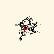 CCC(C)[C@@H]1NC(=O)CNC(=O)[C@@H]2Cc3c([nH]c4cc(O)ccc34)[S@+]([O-])C[C@H](NC(=O)CNC1=O)C(=O)N[C@@H](CC(N)=O)C(=O)N1CC(O)C[C@H]1C(=O)N[C@@H](C(C)[C@@H](O)CO)C(=O)N2.COc1ccc(Cc2nccc3cc(OC)c(OC)cc23)cc1OC.N=C(N)NC(=N)NCCc1ccccc1